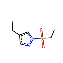 CCc1cnn(S(=O)(=O)CC)c1